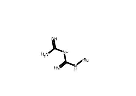 CC(C)(C)NC(=N)NC(=N)N